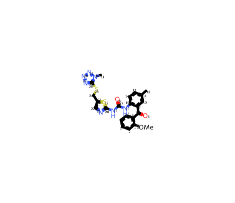 COc1ccccc1C(=O)c1cc(C)ccc1NC(=O)Nc1ncc(CSc2nnnn2C)s1